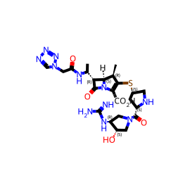 CC(NC(=O)Cn1cnnn1)[C@H]1C(=O)N2C(C(=O)O)=C(S[C@@H]3CN[C@H](C(=O)N4C[C@H](O)[C@H](NC(=N)N)C4)C3)[C@H](C)[C@H]12